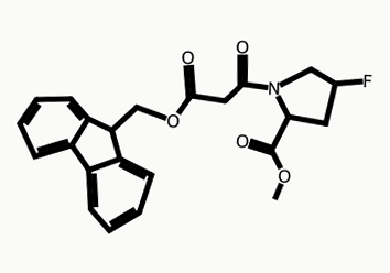 COC(=O)C1CC(F)CN1C(=O)CC(=O)OCC1c2ccccc2-c2ccccc21